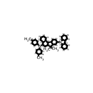 Cc1ccc(N(c2ccc(C)cc2)c2cc3c(c4ccccc24)-c2ccc(-n4c5ccccc5c5ccccc54)cc2C3(C)C)cc1